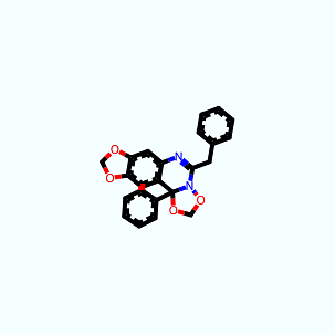 c1ccc(CC2=Nc3cc4c(cc3C3(c5ccccc5)OCON23)OCO4)cc1